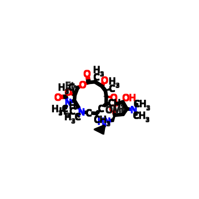 CC[C@H]1OC(=O)C(C)C(=O)[C@H](C)[C@@H](O[C@@H]2O[C@H](CNC3CC3)CC(N(C)C)[C@H]2O)[C@](C)(OC)C[C@@H](C)CN(C)[C@H](C)[C@H]2N(C)C(=O)O[C@]12C